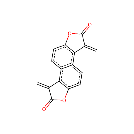 C=C1C(=O)Oc2ccc3c4c(ccc3c21)OC(=O)C4=C